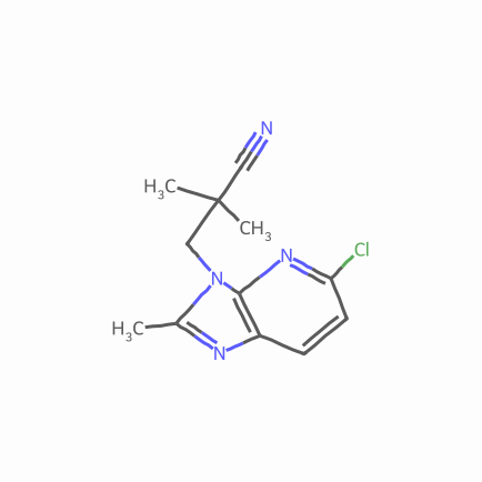 Cc1nc2ccc(Cl)nc2n1CC(C)(C)C#N